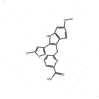 COc1ccc2c(Cc3cccc(C(=O)O)n3)c(-c3csc(Cl)c3)[nH]c2c1